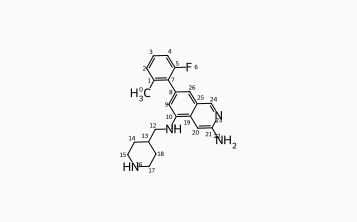 Cc1cccc(F)c1-c1cc(NCC2CCNCC2)c2cc(N)ncc2c1